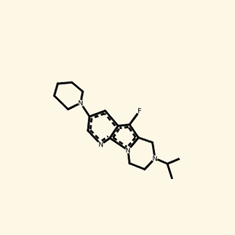 CC(C)N1CCn2c(c(F)c3cc(N4CCCCC4)cnc32)C1